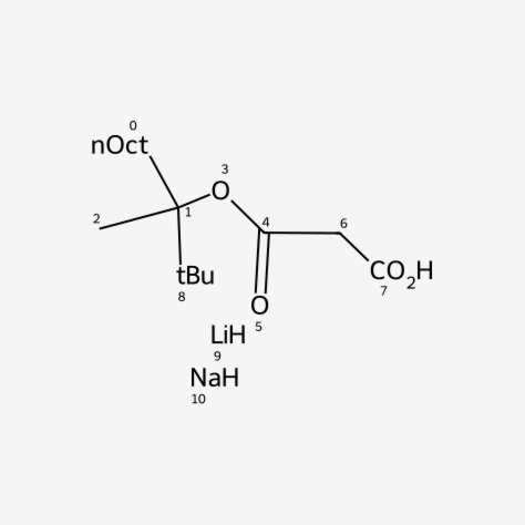 CCCCCCCCC(C)(OC(=O)CC(=O)O)C(C)(C)C.[LiH].[NaH]